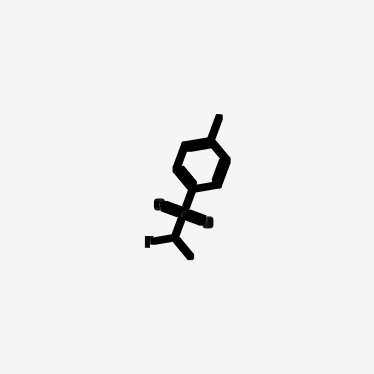 Cc1ccc(S(=O)(=O)C(C)F)cc1